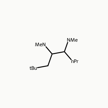 CCCC(NC)C(CC(C)(C)C)NC